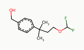 CC(C)(CCOC(F)F)c1ccc(CO)cc1